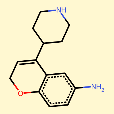 Nc1ccc2c(c1)C(C1CCNCC1)=CCO2